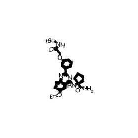 CCOc1ccc2nc(-c3cccc(OCC(=O)NC(C)(C)C)c3)nc(NC3(C(N)=O)CCCC3)c2c1